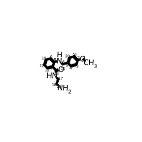 COc1ccc(CNc2ccccc2C(=O)NCCN)cc1